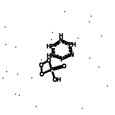 O=P1(O)OOO1.n1p[nH][pH][nH][pH]1